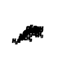 Cc1cnc(N2CCN(C(=O)c3ccc(C4(C(C)C)NC(=O)NC4=O)cc3F)CC2)c(C)c1